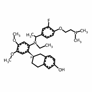 CCN(c1cc(OC)c(OC)cc1[C@@H]1CCc2cc(O)ccc2C1)C(C)c1ccc(OCCN(C)C)c(F)c1